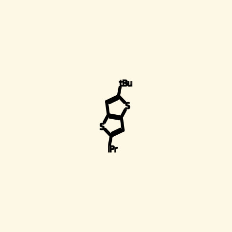 CC(C)c1cc2sc(C(C)(C)C)cc2s1